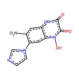 O=c1[nH]c2cc([N+](=O)[O-])c(-n3ccnc3)cc2n(O)c1=O